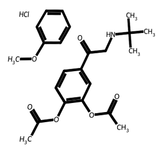 CC(=O)Oc1ccc(C(=O)CNC(C)(C)C)cc1OC(C)=O.COc1ccccc1.Cl